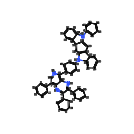 c1ccc(-c2nc3c(-c4ccccc4)cnc(-c4ccc(-n5c6ccccc6c6cc7c(cc65)c5ccccc5n7-c5ccccc5)cc4)c3nc2-c2ccccc2)cc1